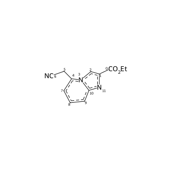 CCOC(=O)c1cn2c(CC#N)cccc2n1